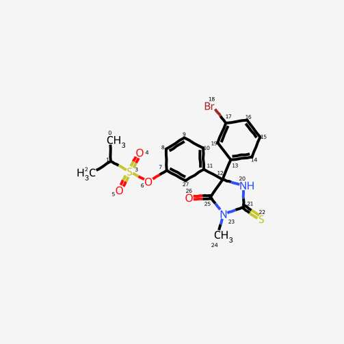 CC(C)S(=O)(=O)Oc1cccc(C2(c3cccc(Br)c3)NC(=S)N(C)C2=O)c1